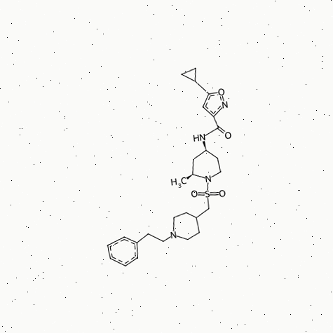 C[C@H]1C[C@@H](NC(=O)c2cc(C3CC3)on2)CCN1S(=O)(=O)CC1CCN(CCc2ccccc2)CC1